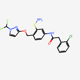 NSc1cc(NC(=O)Cc2ccccc2Cl)ccc1COc1ccn(C(F)F)n1